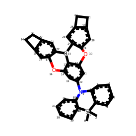 C[Si]1(C)c2ccccc2N(c2cc3c4c(c2)Oc2cc5c(cc2B4c2cc4c(cc2O3)CC4)CC5)c2ccccc21